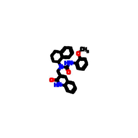 COc1ccccc1NC(=O)N(Cc1cc2ccccc2[nH]c1=O)C1CCCc2ccccc21